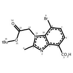 Cc1nc2c(C(=O)O)ccc(Br)c2n1CC(=O)OC(C)(C)C